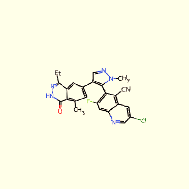 CCc1n[nH]c(=O)c2c(C)cc(-c3cnn(C)c3-c3c(F)cc4ncc(Cl)cc4c3C#N)cc12